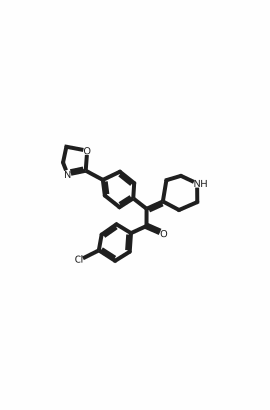 O=C(C(=C1CCNCC1)c1ccc(C2=NCCO2)cc1)c1ccc(Cl)cc1